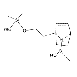 CB(O)N1C2C=CC1(CCO[Si](C)(C)C(C)(C)C)CC2